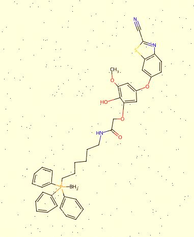 BP(CCCCCCNC(=O)COc1cc(Oc2ccc3nc(C#N)sc3c2)cc(OC)c1O)(c1ccccc1)(c1ccccc1)c1ccccc1